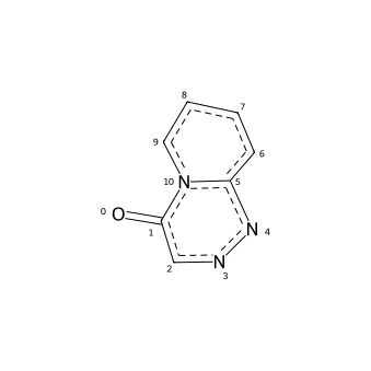 O=c1cnnc2ccccn12